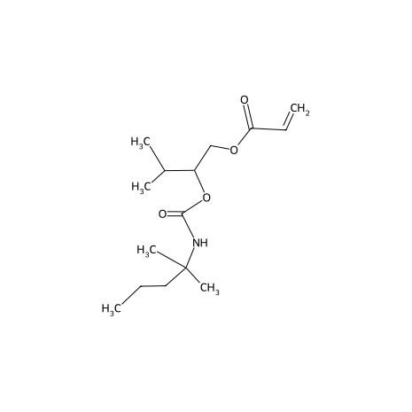 C=CC(=O)OCC(OC(=O)NC(C)(C)CCC)C(C)C